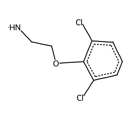 [NH]CCOc1c(Cl)cccc1Cl